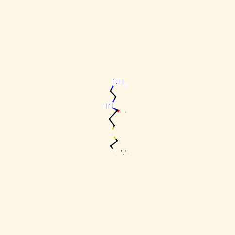 COCCSCCC(=O)NCCN